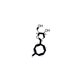 OC[C@H]1O[C@@H](C2=C/C=C(I)\C=C/C=C\2)C[C@H]1O